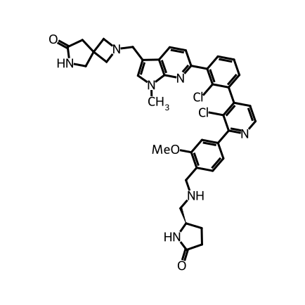 COc1cc(-c2nccc(-c3cccc(-c4ccc5c(CN6CC7(CNC(=O)C7)C6)cn(C)c5n4)c3Cl)c2Cl)ccc1CNC[C@H]1CCC(=O)N1